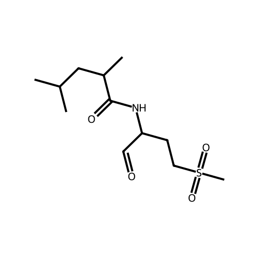 CC(C)CC(C)C(=O)NC(C=O)CCS(C)(=O)=O